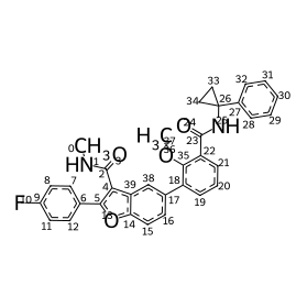 CNC(=O)c1c(-c2ccc(F)cc2)oc2ccc(-c3cccc(C(=O)NC4(c5ccccc5)CC4)c3OC)cc12